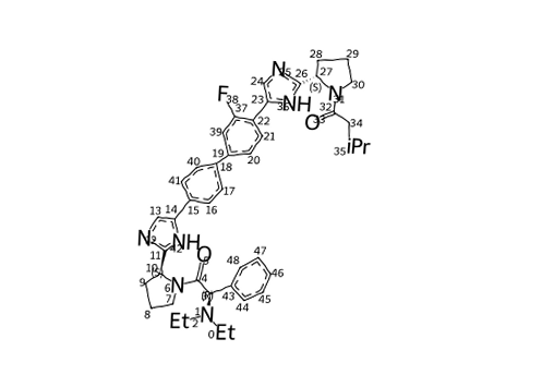 CCN(CC)[C@@H](C(=O)N1CCC[C@H]1c1ncc(-c2ccc(-c3ccc(-c4cnc([C@@H]5CCCN5C(=O)CC(C)C)[nH]4)c(F)c3)cc2)[nH]1)c1ccccc1